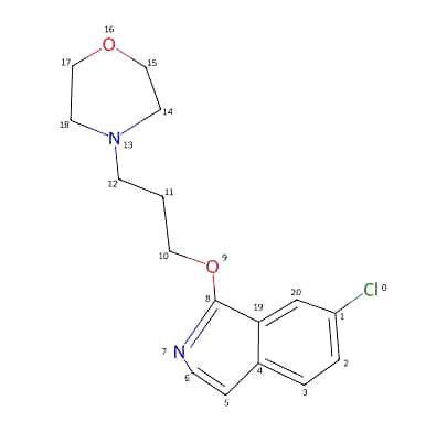 Clc1ccc2ccnc(OCCCN3CCOCC3)c2c1